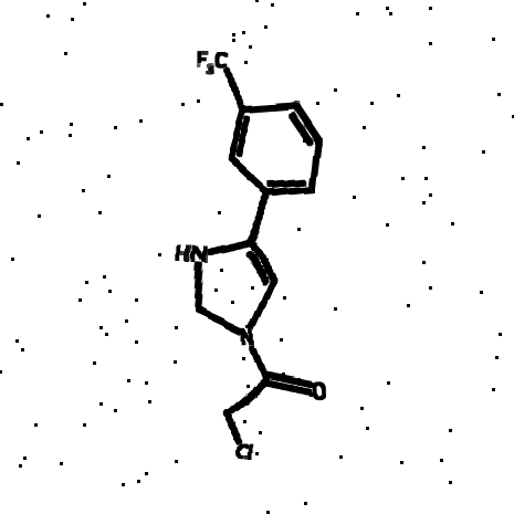 O=C(CCl)N1C=C(c2cccc(C(F)(F)F)c2)NC1